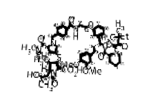 CCC(C)(C)C(=O)C(=O)N1CCCC[C@H]1C(=O)O[C@H](CCc1ccc(OC)c(OC)c1)c1cccc(OCCNC(=O)c2ccc(CN3C[C@@H](SC4=C(C(=O)O)N5C(=O)[C@H]([C@@H](C)O)[C@H]5[C@H]4C)C[C@H]3C(=O)N(C)C)cc2)c1